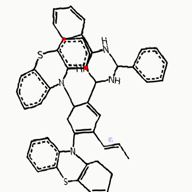 C/C=C/C1=C(N2C3=C(C=CCC3)Sc3ccccc32)CC(N2c3ccccc3Sc3ccccc32)C(C2NC(c3ccccc3)NC(C3C=CC=CC3)N2)=C1